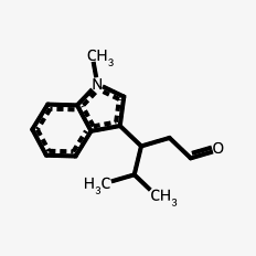 CC(C)C(CC=O)c1cn(C)c2ccccc12